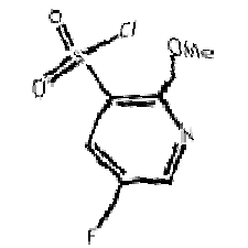 COc1ncc(F)cc1S(=O)(=O)Cl